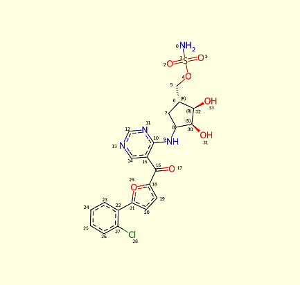 NS(=O)(=O)OC[C@H]1CC(Nc2ncncc2C(=O)c2ccc(-c3ccccc3Cl)o2)[C@H](O)[C@@H]1O